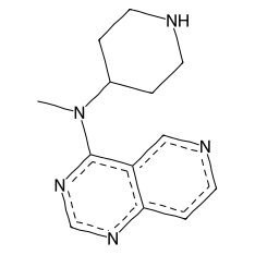 CN(c1ncnc2ccncc12)C1CCNCC1